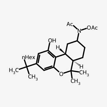 CCCCCCC(C)(C)c1cc(O)c2c(c1)OC(C)(C)[C@@H]1CCC(N(OC(C)=O)C(C)=O)C[C@@H]21